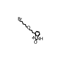 Cn1c(=O)[nH]c2cccc(CCCOCCCCCBr)c21